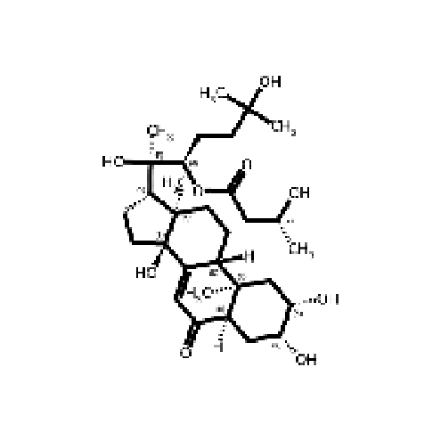 C[C@@H](O)CC(=O)O[C@H](CCC(C)(C)O)[C@](C)(O)[C@H]1CC[C@@]2(O)C3=CC(=O)[C@@H]4C[C@@H](O)[C@@H](O)C[C@]4(C)[C@H]3CC[C@]12C